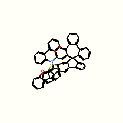 c1ccc(-c2ccccc2N(c2ccc3c(c2)C2(c4ccccc4-c4ccccc4-3)c3ccccc3-c3cc4c(cc32)sc2ccccc24)c2cccc3c2oc2ccccc23)cc1